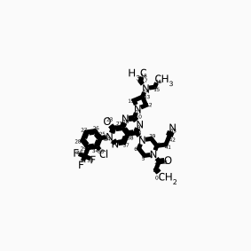 C=CC(=O)N1CCN(c2nc(N3CC(N(CC)CC)C3)nc3c(=O)n(-c4cccc(C(F)(F)F)c4Cl)ncc23)CC1CC#N